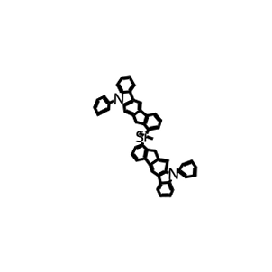 C[Si](C)(c1cccc2c1Cc1cc3c(cc1-2)c1ccccc1n3-c1ccccc1)c1cccc2c1Cc1cc3c(cc1-2)c1ccccc1n3-c1ccccc1